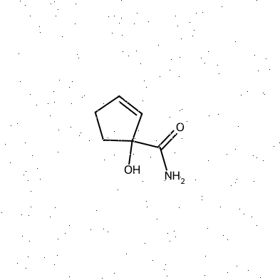 NC(=O)C1(O)C=CCC1